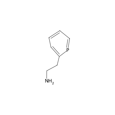 NCCc1ccccp1